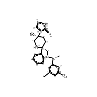 Cc1cc([C@@H](C)OC[C@@]2(c3ccccc3)CC[C@](C#N)(n3cn[nH]c3=O)CN2)cc(C(F)(F)F)c1